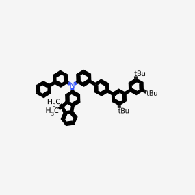 CC(C)(C)c1cc(-c2ccc(-c3cccc(N(c4cccc(-c5ccccc5)c4)c4ccc5c(c4)C(C)(C)c4ccccc4-5)c3)cc2)cc(-c2cc(C(C)(C)C)cc(C(C)(C)C)c2)c1